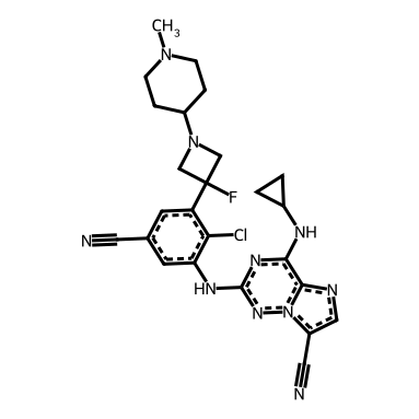 CN1CCC(N2CC(F)(c3cc(C#N)cc(Nc4nc(NC5CC5)c5ncc(C#N)n5n4)c3Cl)C2)CC1